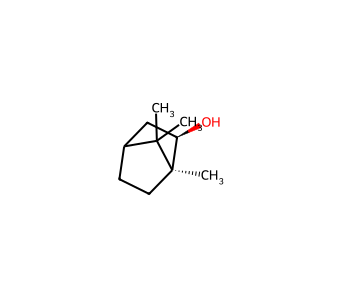 CC1(C)C2CC[C@]1(C)[C@H](O)C2